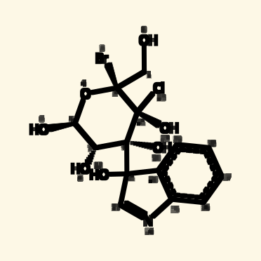 OC[C@@]1(Br)O[C@H](O)[C@@H](O)[C@](O)(C2(O)C=Nc3ccccc32)[C@@]1(O)Cl